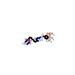 Cc1cc(C(=O)NCc2cc3nc(-c4cccc(N5[C@@H]6CNC[C@H]5COC6)n4)ccc3cn2)cc(S(C)(=O)=O)c1C